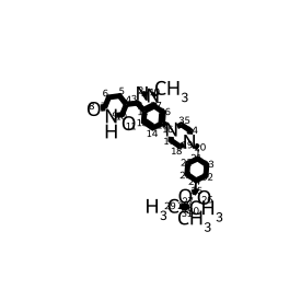 Cn1nc(C2CCC(=O)NC2=O)c2ccc(N3CCN(C[C@H]4CC[C@H](C(=O)OC(C)(C)C)CC4)CC3)cc21